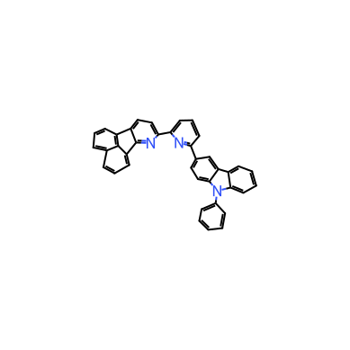 c1ccc(-n2c3ccccc3c3cc(-c4cccc(-c5ccc6c(n5)-c5cccc7cccc-6c57)n4)ccc32)cc1